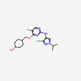 CC(C)n1cc(Nc2ncc(F)c(OCC3CCC(O)CC3)n2)c(Cl)n1